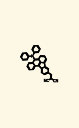 N#CC(C#N)=Cc1ccc2c(c1)-c1cccc3c(N(c4ccccc4)c4ccccc4)c4ccccc4c-2c13